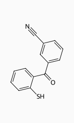 N#Cc1cccc(C(=O)c2ccccc2S)c1